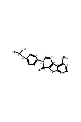 CNc1ncnc2sc3c(=O)n(-c4ccc(OC(F)F)cc4)cnc3c12